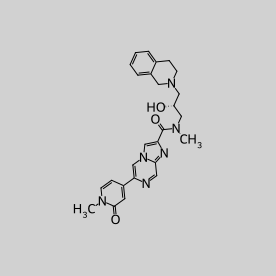 CN(C[C@H](O)CN1CCc2ccccc2C1)C(=O)c1cn2cc(-c3ccn(C)c(=O)c3)ncc2n1